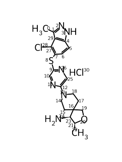 Cc1n[nH]c2ccc(Sc3cnc(N4CCC5(CC4)CO[C@@H](C)[C@H]5N)cn3)c(Cl)c12.Cl